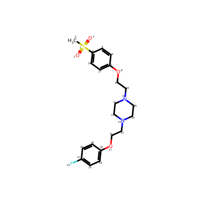 CS(=O)(=O)c1ccc(OCCN2CCN(CCOc3ccc(F)cc3)CC2)cc1